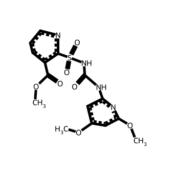 COC(=O)c1cccnc1S(=O)(=O)NC(=O)Nc1cc(OC)cc(OC)n1